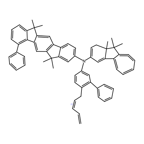 C=C/C=C\Cc1ccc(N(C2=CCC3(C)C(=C2)C2=CC=CC=C=C2C3(C)C)c2ccc3c(c2)C(C)(C)c2cc4c(cc2-3)C(C)(C)c2cccc(-c3ccccc3)c2-4)cc1-c1ccccc1